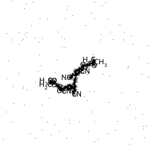 C=C(C)C(=O)OCCOC(=O)/C(C#N)=C/c1ccc(N(CCC#N)CCCCCN(CCC#N)c2ccc(/C=C(\C#N)C(=O)OCCOC(=O)C(=C)C)cc2)cc1